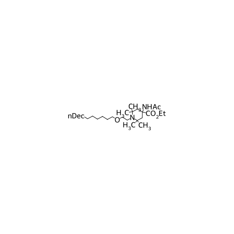 CCCCCCCCCCCCCCCCOCCN1C(C)(C)CC(NC(C)=O)(C(=O)OCC)CC1(C)C